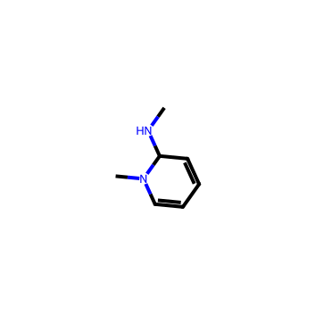 CNC1C=CC=CN1C